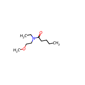 CCCCC(=O)N(CC)CCOC